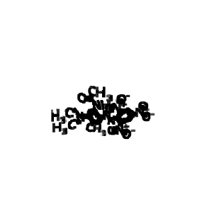 CCN(CC)c1cc(NC(C)=O)c(N=Nc2c([N+](=O)[O-])cc([N+](=O)[O-])cc2[N+](=O)[O-])cc1C